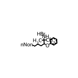 Br.CCCCCCCCCCCCC(Oc1ccccc1)C(C)(C)N